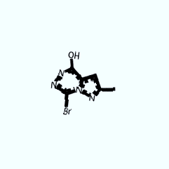 Cc1cc2c(O)nnc(Br)n2n1